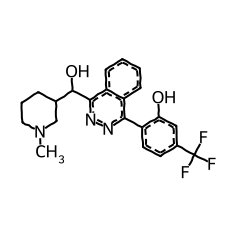 CN1CCCC(C(O)c2nnc(-c3ccc(C(F)(F)F)cc3O)c3ccccc23)C1